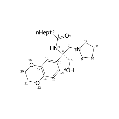 CCCCCCCC(=O)N[C@@](CO)(CN1CCCC1)c1ccc2c(c1)OCCO2